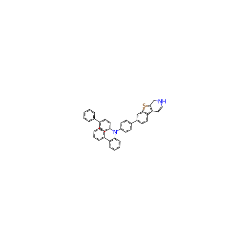 C1=Cc2c(sc3cc(-c4ccc(N(c5ccc(-c6ccccc6)cc5)c5ccccc5-c5ccccc5)cc4)ccc23)CN1